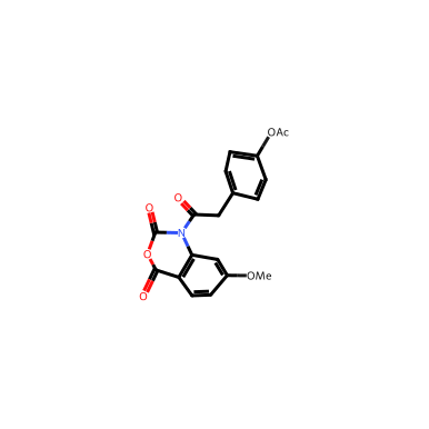 COc1ccc2c(=O)oc(=O)n(C(=O)Cc3ccc(OC(C)=O)cc3)c2c1